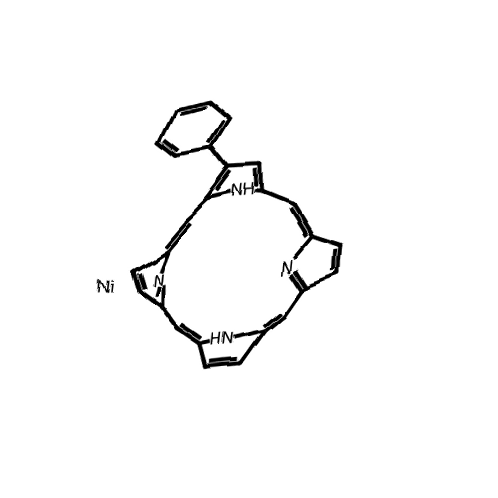 C1=Cc2cc3cc(-c4ccccc4)c(cc4nc(cc5ccc(cc1n2)[nH]5)C=C4)[nH]3.[Ni]